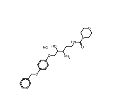 Cl.NC(CCNC(=O)N1CCOCC1)C(O)COc1ccc(OCc2ccccc2)cc1